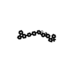 CC1(C)c2ccccc2-c2c(-c3ccc4oc5c(ccc6c7cc(-c8ccc(-c9ccc(-c%10ccc%11c%12ccccc%12c%12ccccc%12c%11c%10)cc9)cc8)ccc7oc65)c4c3)cccc21